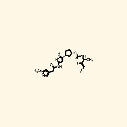 CC=C(F)[C@H](C)NC(=O)O[C@@H]1CC[C@H](c2cc(NC(=O)Cc3cnn(C)c3)n[nH]2)C1